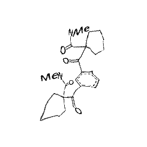 CNC(=O)C1(C(=O)c2cccc(C(=O)C3(C(=O)NC)CCCCC3)c2)CCCCC1